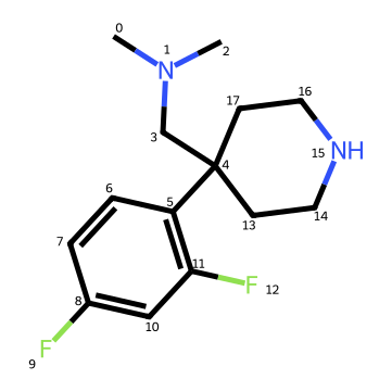 CN(C)CC1(c2ccc(F)cc2F)CCNCC1